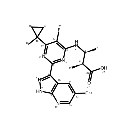 C[C@H](Nc1nc(-c2n[nH]c3ncc(F)cc23)nc(C2(C)CC2)c1F)[C@H](C)C(=O)O